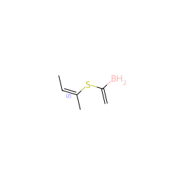 BC(=C)S/C(C)=C\C